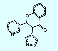 O=C1c2ccccc2OC(c2cccnc2)C1n1ccnc1